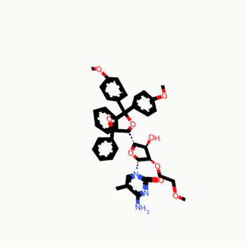 COCCO[C@@H]1[C@H](O)[C@@H](C(OC(c2ccccc2)(c2ccc(OC)cc2)c2ccc(OC)cc2)C(=O)c2ccccc2)O[C@H]1n1cc(C)c(N)nc1=O